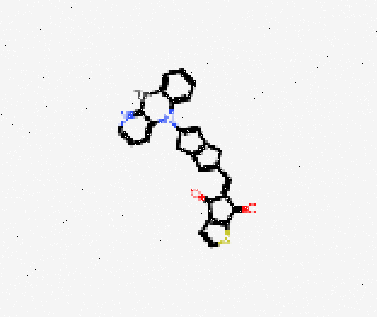 O=C1/C(=C\C2=CC3=C(C=C(N4c5ccccc5[Te]c5ncccc54)C3)C2)C(=O)c2sccc21